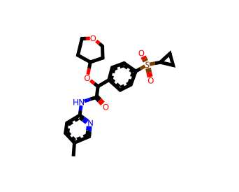 Cc1ccc(NC(=O)C(OC2CCOCC2)c2ccc(S(=O)(=O)C3CC3)cc2)nc1